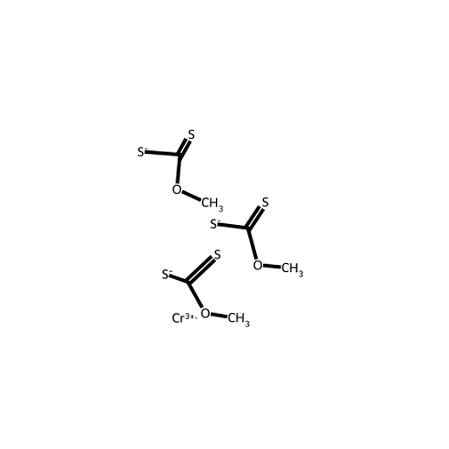 COC(=S)[S-].COC(=S)[S-].COC(=S)[S-].[Cr+3]